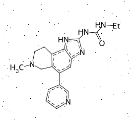 CCNC(=O)Nc1nc2cc(-c3cccnc3)c3c(c2[nH]1)CCN(C)C3